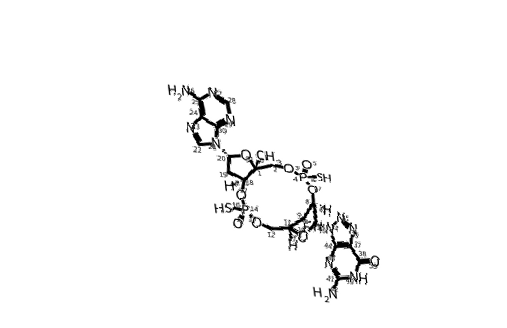 C[C@@]12COP(=O)(S)O[C@@H]3[C@@H](F)[C@@H](COP(=O)(S)O[C@H]1C[C@H](n1cnc4c(N)ncnc41)O2)O[C@H]3n1nnc2c(=O)[nH]c(N)nc21